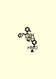 Cc1ccccc1[C@H](Nc1nccn(-c2cc(C(=O)NC3CC3)ccc2C)c1=O)[C@@H](C)CN1CCCC1